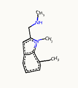 CNCc1cc2cccc(C)c2n1C